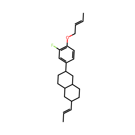 CC=CCOc1ccc(C2CCC3CC(C=CC)CCC3C2)cc1F